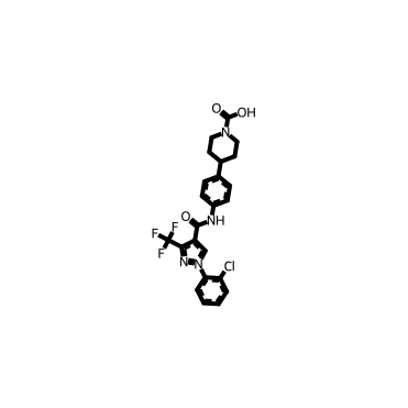 O=C(Nc1ccc(C2CCN(C(=O)O)CC2)cc1)c1cn(-c2ccccc2Cl)nc1C(F)(F)F